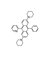 c1ccc(-c2c3cc(N4CCCCC4)ccc3c(-c3ccccn3)c3cc(N4CCCCC4)ccc23)cc1